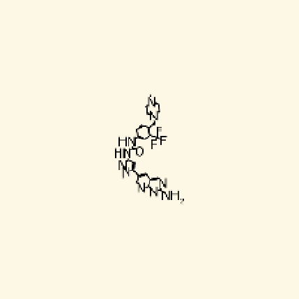 CN1CCN(Cc2ccc(NC(=O)Nc3cc(-c4cnc5nc(N)ncc5c4)n(C)n3)cc2C(F)(F)F)CC1